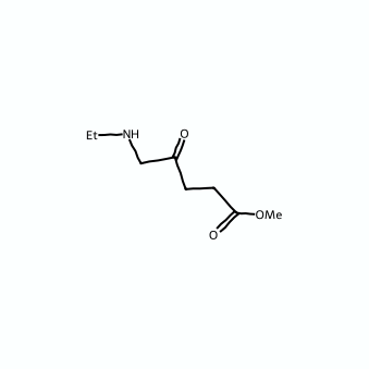 CCNCC(=O)CCC(=O)OC